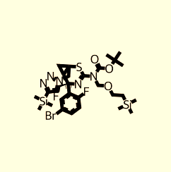 CC(C)(C)OC(=O)N(COCC[Si](C)(C)C)C1=N[C@](CF)(c2cc(Br)ccc2F)C2CC2(Cn2cc([Si](C)(C)C)nn2)S1